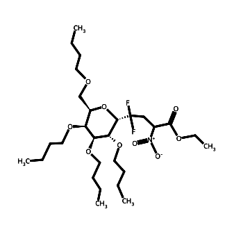 CCCCOC[C@H]1O[C@H](C(F)(F)CC(C(=O)OCC)[N+](=O)[O-])[C@H](OCCCC)[C@@H](OCCCC)[C@H]1OCCCC